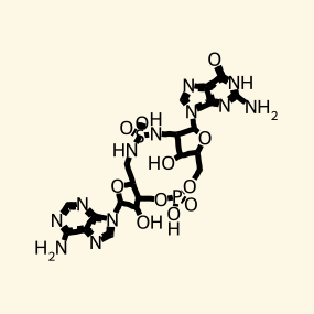 Nc1nc2c(ncn2C2OC3COP(=O)(O)OC4C(CNS(=O)(=O)NC2C3O)OC(n2cnc3c(N)ncnc32)C4O)c(=O)[nH]1